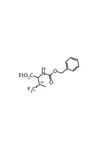 CCOC(=O)C(NC(=O)OCc1ccccc1)[C@@H](C)C(F)(F)F